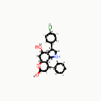 O=c1cc(-c2ccccc2)c2c(cc(O)c3c(-c4ccc(Cl)cc4)c[nH]c32)o1